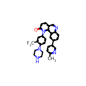 Cc1ccc(-c2ccc3ncc4ccc(=O)n(-c5ccc(N6CCNCC6)c(C(F)(F)F)c5)c4c3c2)cn1